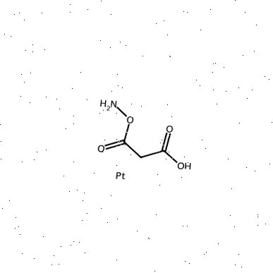 NOC(=O)CC(=O)O.[Pt]